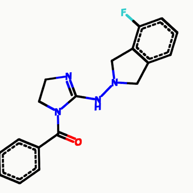 O=C(c1ccccc1)N1CCN=C1NN1Cc2cccc(F)c2C1